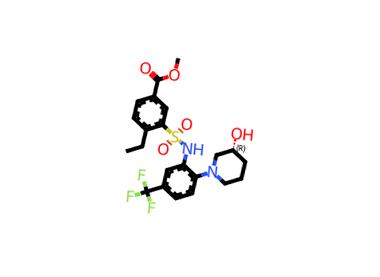 CCc1ccc(C(=O)OC)cc1S(=O)(=O)Nc1cc(C(F)(F)F)ccc1N1CCC[C@@H](O)C1